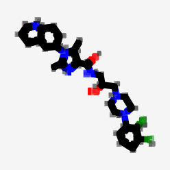 Cc1nc(C(=O)NCC(O)CN2CCN(c3cccc(Cl)c3Cl)CC2)c(C)n1-c1ccc2ncccc2c1